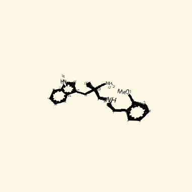 COc1ccccc1CNCC(C)(N)Cc1c[nH]c2ccccc12